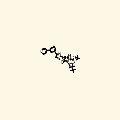 CC(C)(C)OC(=O)N[C@@H](CO[Si](C)(C)C(C)(C)C)C(=O)Nc1nc(-c2cccc(-c3ccncc3)c2)cs1